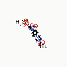 CC(C)(C)OC(=O)N1CCN(c2ccc(N3C[C@H](COS(C)(=O)=O)OC3=O)cc2F)CC1